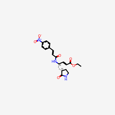 CCOC(=O)C=C[C@H](C[C@@H]1CCNC1=O)NC(=O)C=Cc1ccc([N+](=O)[O-])cc1